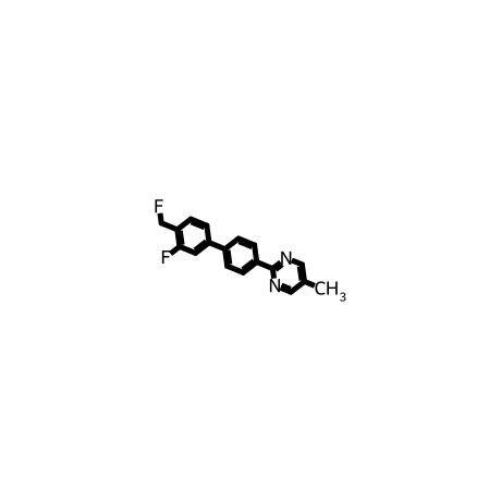 Cc1cnc(-c2ccc(-c3ccc(CF)c(F)c3)cc2)nc1